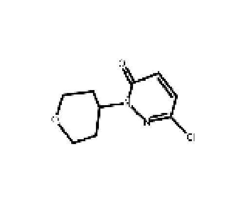 O=c1ccc(Cl)nn1C1CCOCC1